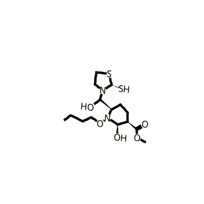 CCCCON1[C@@H](C(O)N2CCS[C@@H]2S)CC[C@@H](C(=O)OC)[C@H]1O